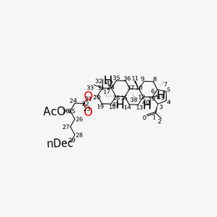 C=C(C)[C@@H]1CC[C@]2(C)CC[C@]3(C)[C@H](CC[C@@H]4[C@@]5(C)CC[C@H](OC(=O)CC(CCCCCCCCCCCCC)OC(C)=O)C(C)(C)[C@@H]5CC[C@]43C)[C@@H]12